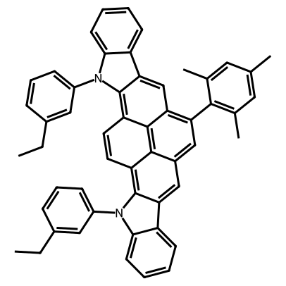 CCc1cccc(-n2c3ccccc3c3cc4cc(-c5c(C)cc(C)cc5C)c5cc6c7ccccc7n(-c7cccc(CC)c7)c6c6ccc(c4c56)c32)c1